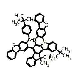 CC(C)(C)c1ccc(N2B3c4cc5c(cc4-n4c6ccc(C(C)(C)C)cc6c6c7c(c(c3c64)-c3cc4c(cc32)sc2ccccc24)-c2ccccc2C7(C)C)oc2ccccc25)cc1